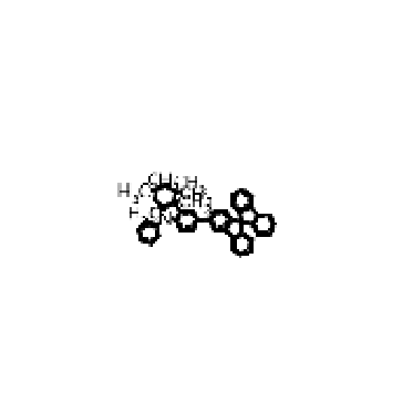 CC1(C)CC(C)(C)C2(C)c3cc(-c4ccc5c(c4)-c4ccccc4C54c5ccccc5-c5ccccc54)ccc3N(c3ccccc3)C2(C)C1